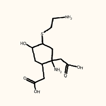 NCCSC1CC(N)(CC(=O)O)C(CC(=O)O)CC1O